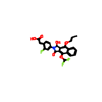 CCCOc1c2c(c(OC(F)F)c3ccccc13)C(=O)N(c1ccc(CC(=O)O)c(F)c1)C2O